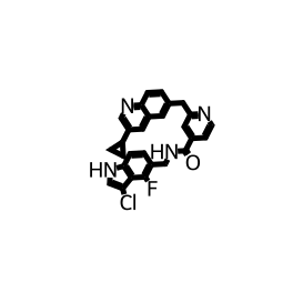 O=C(NCc1ccc2[nH]cc(Cl)c2c1F)c1ccnc(Cc2ccc3ncc(C4CC4)cc3c2)c1